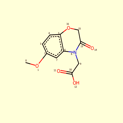 COc1ccc2c(c1)N(CC(=O)O)C(=O)CO2